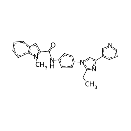 CCc1nc(-c2cccnc2)cn1-c1ccc(NC(=O)c2cc3ccccc3n2C)cc1